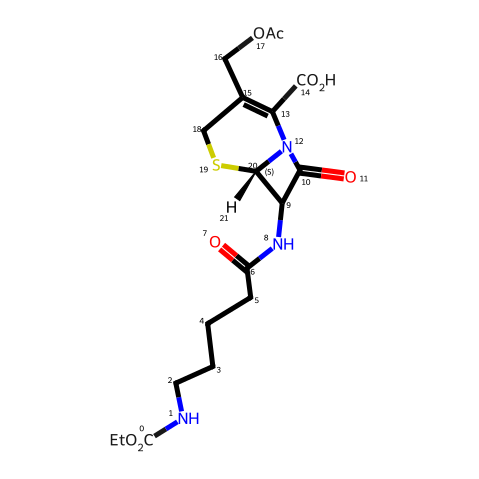 CCOC(=O)NCCCCC(=O)NC1C(=O)N2C(C(=O)O)=C(COC(C)=O)CS[C@@H]12